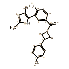 CCc1nc(C)[nH]c1-c1cc(C(=O)N2CC(c3ccc(C#N)cc3)C2)ccc1C